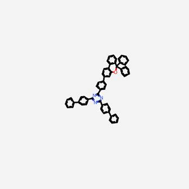 c1ccc(-c2ccc(-c3nc(-c4ccc(-c5ccccc5)cc4)nc(-c4ccc(-c5ccc6c(c5)OC(c5ccccc5)(c5ccccc5)c5ccccc5-6)cc4)n3)cc2)cc1